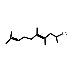 CC(C)=CCC/C(C)=C(\C)CC(C)C#N